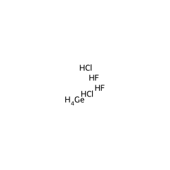 Cl.Cl.F.F.[GeH4]